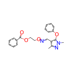 Cc1nn(C)c(Oc2ccccc2)c1C=NOCCOC(=O)c1ccccc1